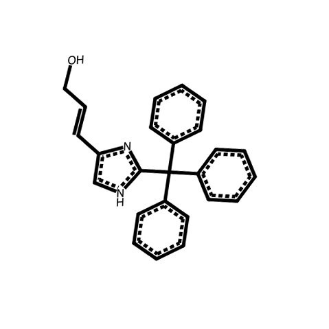 OCC=Cc1c[nH]c(C(c2ccccc2)(c2ccccc2)c2ccccc2)n1